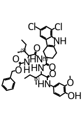 CC[C@H](C)C(NC(=O)OCc1ccccc1)C(=O)N[C@@]1(C(=O)NC(C(=O)Nc2ccc(O)c(OC)c2)[C@@H](C)CC)CCc2[nH]c3c(Cl)cc(Cl)cc3c2C1